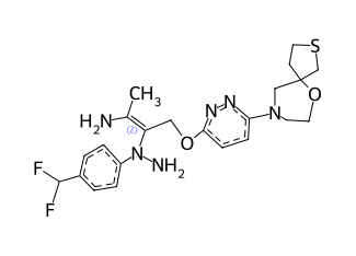 C/C(N)=C(\COc1ccc(N2CCOC3(CCSC3)C2)nn1)N(N)c1ccc(C(F)F)cc1